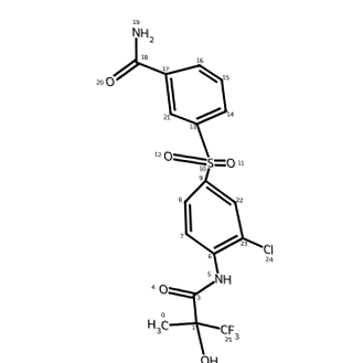 CC(O)(C(=O)Nc1ccc(S(=O)(=O)c2cccc(C(N)=O)c2)cc1Cl)C(F)(F)F